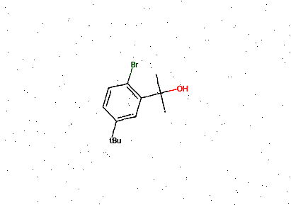 CC(C)(C)c1ccc(Br)c(C(C)(C)O)c1